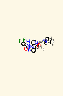 Cc1cccc2nc(NC(=O)c3ccc(F)c(F)c3)n(C3CCCCN(C(=O)C=CCN(C)C)C3)c12